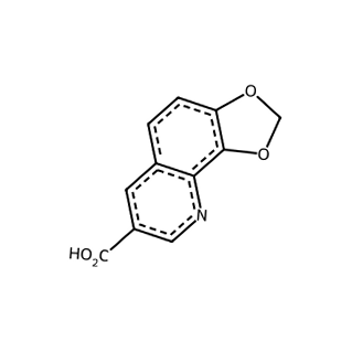 O=C(O)c1cnc2c3c(ccc2c1)OCO3